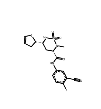 CN1[C@H](C(=O)Nc2ccc(F)c(C#N)c2)C[C@H](C2CC=CS2)NS1(=O)=O